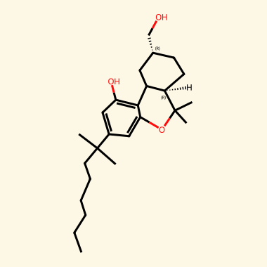 CCCCCCC(C)(C)c1cc(O)c2c(c1)OC(C)(C)[C@@H]1CC[C@@H](CO)CC21